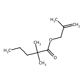 C=C(C)COC(=O)C(C)(C)CCC